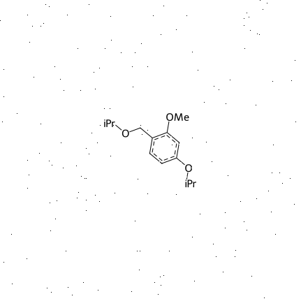 COc1cc(OC(C)C)ccc1COC(C)C